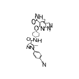 Cc1c(C(=O)N[C@H]2CC[C@H](Oc3nc4c(cnn4C)cc3C(N)=O)CC2)cnn1-c1ccc(C#N)cc1